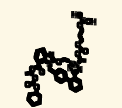 CCOc1nc2cccc(C(=O)OC(C)OC(=O)OC3CCCCC3)c2n1Cc1ccc(-c2ccccc2-c2nnn(C(C)OC(=O)OCCCON(O)O)n2)cc1